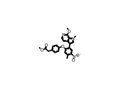 COC(=O)Cc1ccc(Oc2cc(C)c([N+](=O)[O-])cc2-c2cn(C)c3c(OC)nccc23)cc1